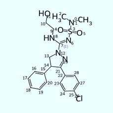 CN(C)S(=O)(=O)/N=C(\NCCO)N1CC(c2ccccc2)C(c2ccc(Cl)cc2)=N1